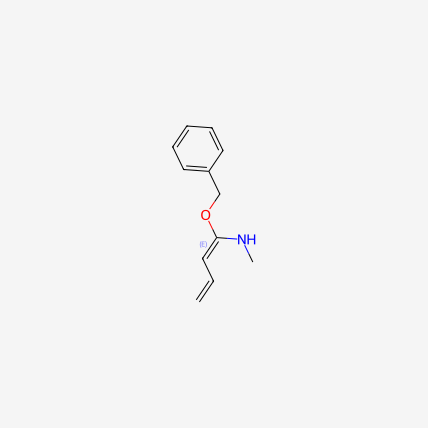 C=C/C=C(\NC)OCc1ccccc1